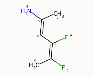 C/C(F)=C(F)\C=C(/C)N